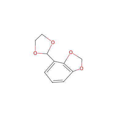 c1cc2c(c(C3OCCO3)c1)OCO2